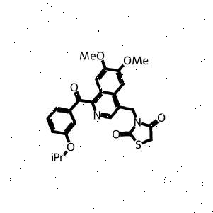 COc1cc2c(CN3C(=O)CSC3=O)cnc(C(=O)c3cccc(OC(C)C)c3)c2cc1OC